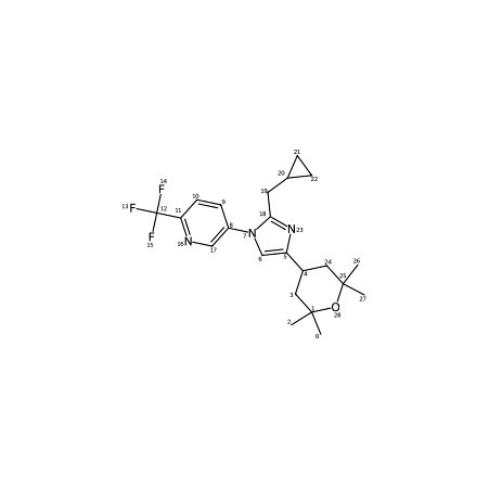 CC1(C)CC(c2cn(-c3ccc(C(F)(F)F)nc3)c(CC3CC3)n2)CC(C)(C)O1